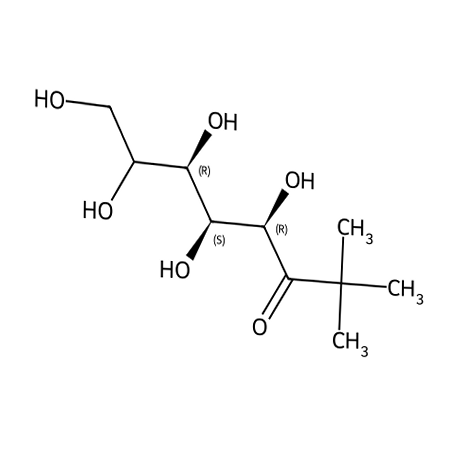 CC(C)(C)C(=O)[C@H](O)[C@@H](O)[C@H](O)C(O)CO